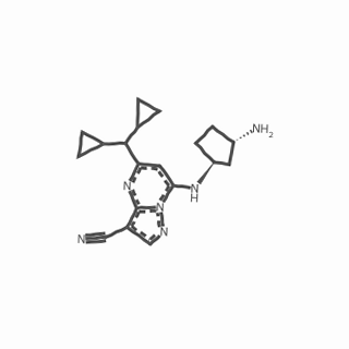 N#Cc1cnn2c(N[C@H]3CC[C@H](N)C3)cc(C(C3CC3)C3CC3)nc12